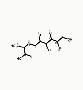 CC(O)[C@H](NCC(O)C(O)C(O)C(O)CO)C(=O)O